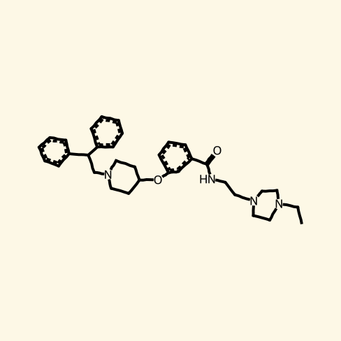 CCN1CCN(CCNC(=O)c2cccc(OC3CCN(CC(c4ccccc4)c4ccccc4)CC3)c2)CC1